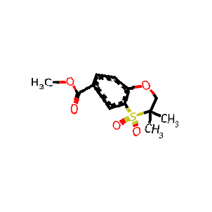 COC(=O)c1ccc2c(c1)S(=O)(=O)C(C)(C)CO2